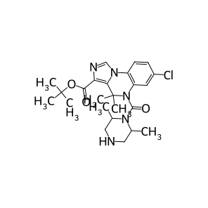 CC1CNCC(C)N1C(=O)N1c2cc(Cl)ccc2-n2cnc(C(=O)OC(C)(C)C)c2C1(C)C